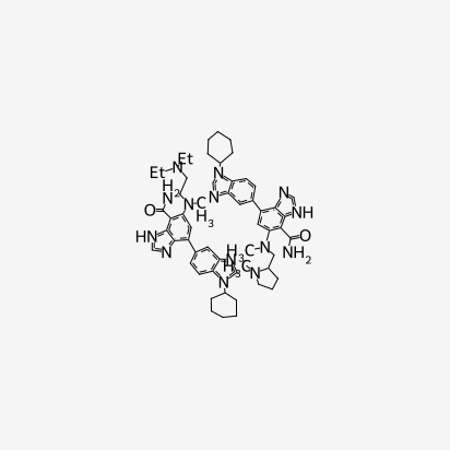 CCN(CC)CCN(C)c1cc(-c2ccc3c(c2)ncn3C2CCCCC2)c2nc[nH]c2c1C(N)=O.CN(CC1CCCN1C)c1cc(-c2ccc3c(c2)ncn3C2CCCCC2)c2nc[nH]c2c1C(N)=O